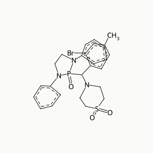 Cc1ccc(C(N2CCS(=O)(=O)CC2)P2(=O)N(c3ccccc3)CCN2c2ccccc2)c(Br)c1